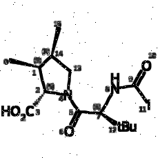 C[C@@H]1[C@@H](C(=O)O)N(C(=O)[C@@H](NC(=O)I)C(C)(C)C)C[C@@H]1C